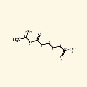 CC(S)OC(=O)CCCCC(=O)O